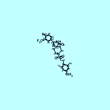 Cc1cc(N)cc(C)c1CCS(=O)(=O)N1CCC2(CC1)N=C(c1ccc(F)c(C(F)(F)F)c1)NC2=O